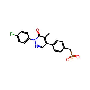 Cc1c(-c2ccc(C[SH](=O)=O)cc2)cnn(-c2ccc(F)cc2)c1=O